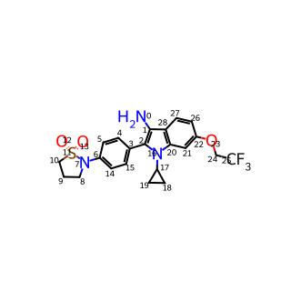 Nc1c(-c2ccc(N3CCCS3(=O)=O)cc2)n(C2CC2)c2cc(OCC(F)(F)F)ccc12